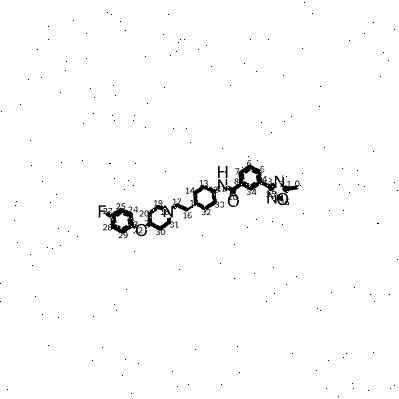 Cc1nc(-c2cccc(C(=O)N[C@H]3CC[C@H](CCN4CCC(Oc5ccc(F)cc5)CC4)CC3)c2)no1